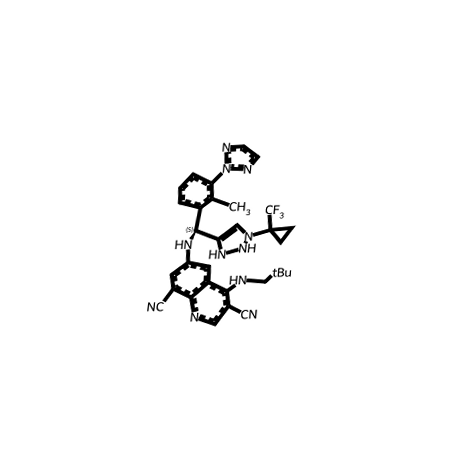 Cc1c([C@H](Nc2cc(C#N)c3ncc(C#N)c(NCC(C)(C)C)c3c2)C2=CN(C3(C(F)(F)F)CC3)NN2)cccc1-n1nccn1